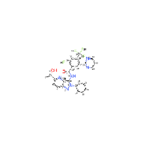 C[C@@H](O)c1ccc2nn(-c3ccccc3)c(NC(=O)c3cc(-c4ncccn4)c(C(F)(F)F)cc3F)c2n1